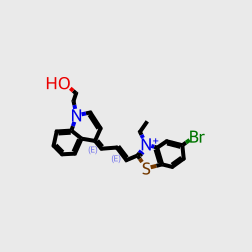 CC[n+]1c(/C=C/C=C2\C=CN(CCO)c3ccccc32)sc2ccc(Br)cc21